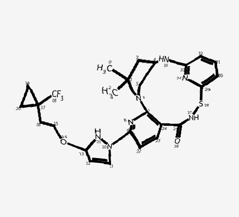 CC1(C)CC2CN1c1nc(N3C=CC(OCCC4(C(F)(F)F)CC4)N3)ccc1C(=O)NSc1cccc(n1)N2